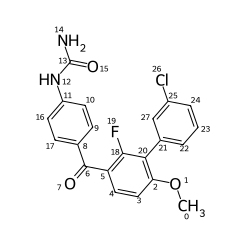 COc1ccc(C(=O)c2ccc(NC(N)=O)cc2)c(F)c1-c1cccc(Cl)c1